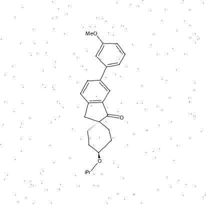 COc1cccc(-c2ccc3c(c2)C(=O)[C@]2(CC[C@H](OC(C)C)CC2)C3)c1